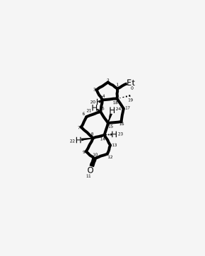 CCC1CC[C@H]2[C@@H]3CC[C@H]4CC(=O)CC[C@@H]4[C@H]3CC[C@]12C